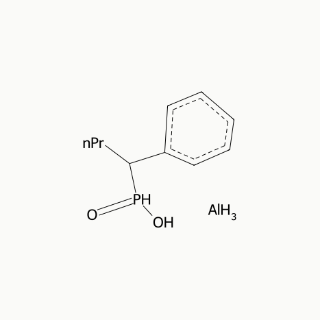 CCCC(c1ccccc1)[PH](=O)O.[AlH3]